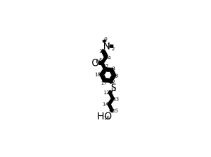 CN(C)C=CC(=O)c1ccc(SCCCCO)cc1